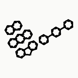 [CH]1c2ccccc2-c2ccccc21.[c]1c2ccccc2cc2ccccc12.c1ccc(-c2ccc(-c3ccccc3)cc2)cc1.c1ccc2ccccc2c1